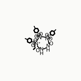 C=CC[N+]1(S(=O)(=O)c2ccc(C)cc2)CCN(S(=O)(=O)c2ccc(C)cc2)CCN(S(=O)(=O)c2ccc(C)cc2)CC(=O)NCCNC(=O)C1